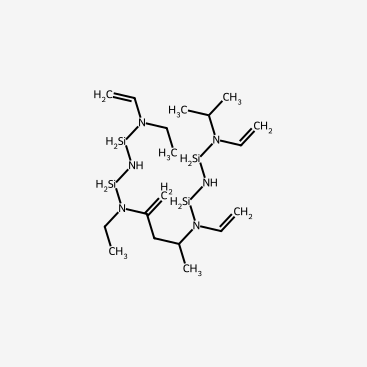 C=CN(CC)[SiH2]N[SiH2]N(CC)C(=C)CC(C)N(C=C)[SiH2]N[SiH2]N(C=C)C(C)C